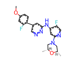 COc1ccc(-c2cnnc(Nc3cc(N4C[C@@H](C)O[C@@H](C)C4)ncc3F)c2)c(F)c1